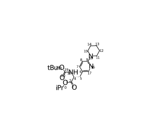 CC(C)OC(=O)[C@@H](Cc1ccc(N2CCCCC2)nc1)NC(=O)OC(C)(C)C